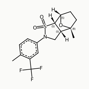 Cc1ccc(N2C[C@@H]3[C@@H]([C@@H]4CC[C@@]3(C)O4)S2(=O)=O)cc1C(F)(F)F